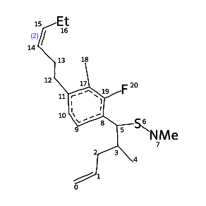 C=CCC(C)C(SNC)c1ccc(CC/C=C\CC)c(C)c1F